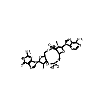 Nc1nc2c(ncn2C2OC3COP(=O)(S)[C@@H]4C(COP(=O)(S)O[C@H]3[C@H]2F)OC(n2cnc3c(N)ncnc32)[C@@H]4F)c(=O)[nH]1